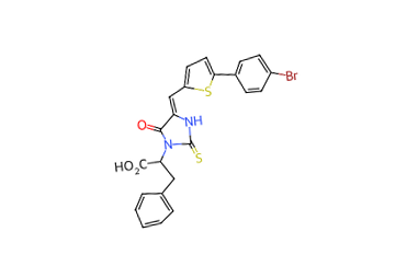 O=C(O)C(Cc1ccccc1)N1C(=O)C(=Cc2ccc(-c3ccc(Br)cc3)s2)NC1=S